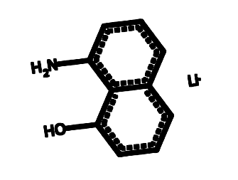 Nc1cccc2cccc(O)c12.[Li]